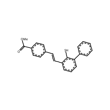 COC(=O)c1ccc(C=Cc2cccc(-c3ccccc3)c2S)cc1